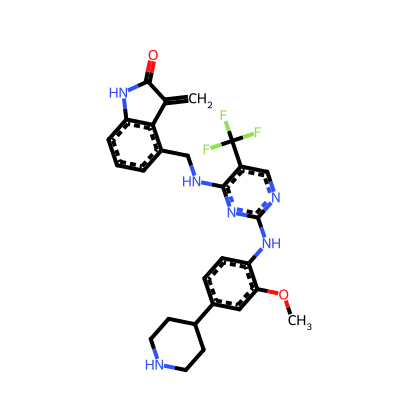 C=C1C(=O)Nc2cccc(CNc3nc(Nc4ccc(C5CCNCC5)cc4OC)ncc3C(F)(F)F)c21